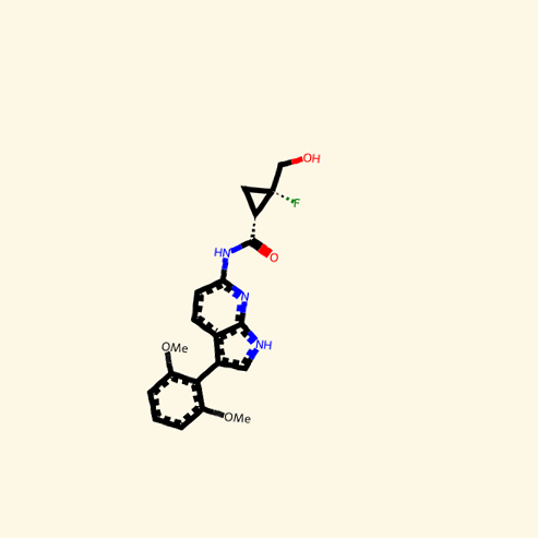 COc1cccc(OC)c1-c1c[nH]c2nc(NC(=O)[C@@H]3C[C@@]3(F)CO)ccc12